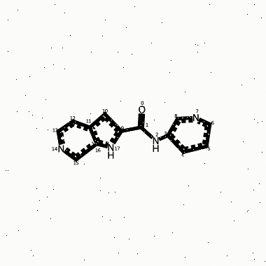 O=C(Nc1cccnc1)c1cc2ccncc2[nH]1